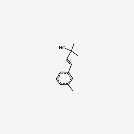 Cc1cccc(/C=C/C(C)(C)C#N)c1